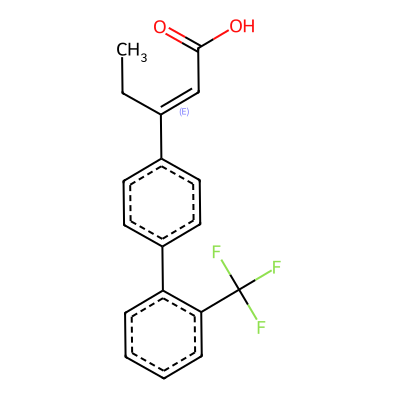 CC/C(=C\C(=O)O)c1ccc(-c2ccccc2C(F)(F)F)cc1